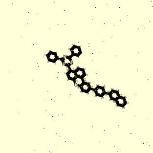 c1ccc(-c2nc(-c3ccccc3)nc(-c3ccc4c5c(cccc35)-c3cc(-c5ccc(-c6ccc7ccccc7c6)cc5)ccc3O4)n2)cc1